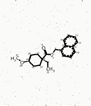 CC[C@]1(C(=O)OCc2cccc3ccccc23)CC[C@H](OC)CC1